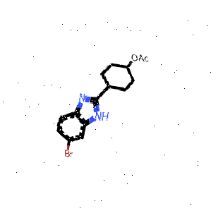 CC(=O)OC1CCC(c2nc3ccc(Br)cc3[nH]2)CC1